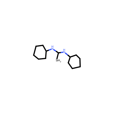 [SiH3]C(NC1CCCCC1)NC1CCCCC1